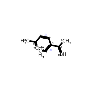 B=C(C)C(/C=C\C(=C)C)=C/C